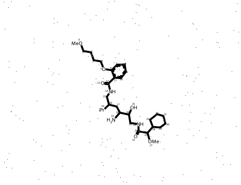 COCCCCOc1ccccc1C(=O)NCC(CC(N)C(O)CNC(=O)C(OC)C1CCCCC1)C(C)C